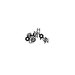 Cc1cc(Nc2ncc3c(n2)N2CCN=C2N(c2c(Cl)cccc2Cl)C3=O)ccc1N1C[C@H](C)N(C)[C@@H](C)C1